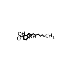 CCCCCCCc1cc2cc(C(=O)O)ccc2[nH]1